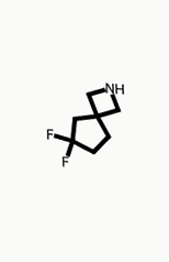 FC1(F)CCC2(CNC2)C1